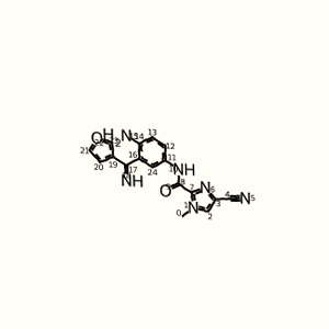 Cn1cc(C#N)nc1C(=O)Nc1ccc(N)c(C(=N)c2ccoc2)c1